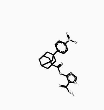 NC(=O)c1[nH]cnc1OC(=O)C12CC3CC(C1)CC(c1ccc([N+](=O)[O-])cc1)(C3)C2